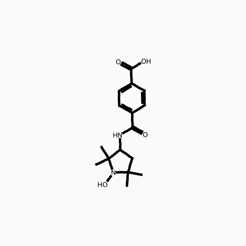 CC1(C)CC(NC(=O)c2ccc(C(=O)O)cc2)C(C)(C)N1O